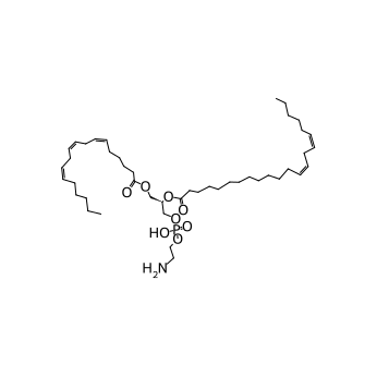 CCCCC/C=C\C/C=C\C/C=C\CCCCC(=O)OC[C@H](COP(=O)(O)OCCN)OC(=O)CCCCCCCCCCC/C=C\C/C=C\CCCCC